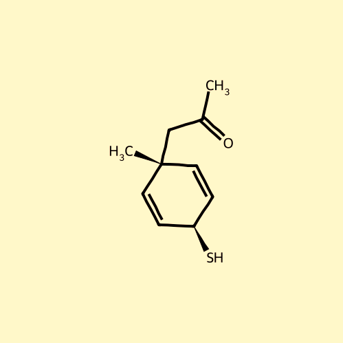 CC(=O)C[C@]1(C)C=C[C@@H](S)C=C1